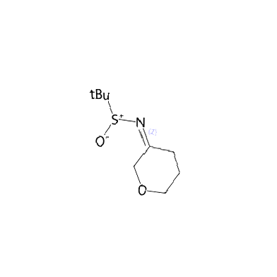 CC(C)(C)[S+]([O-])/N=C1/CCCOC1